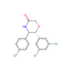 O=C1CO[C@H](c2cc(Cl)cc(Cl)c2)C(c2ccc(Cl)cc2)N1